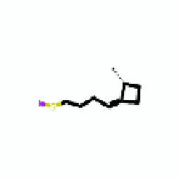 C[C@@H]1CC/C1=C/CCCSI